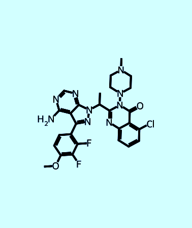 COc1ccc(-c2nn(C(C)c3nc4cccc(Cl)c4c(=O)n3N3CCN(C)CC3)c3ncnc(N)c23)c(F)c1F